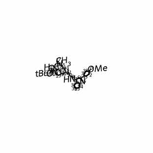 COc1ccc(-c2cc(NCCCN(CCCN(C)C)CC3CCN(C(=O)OC(C)(C)C)CC3)c3ccccc3n2)cc1